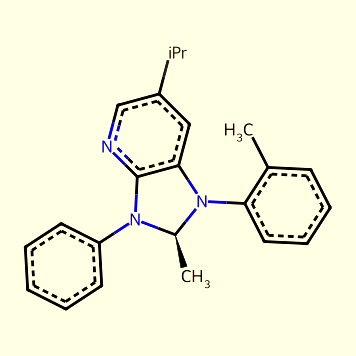 Cc1ccccc1N1c2cc(C(C)C)cnc2N(c2ccccc2)[C@@H]1C